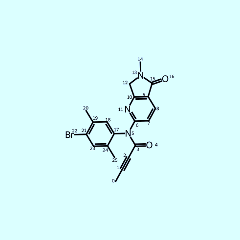 CC#CC(=O)N(c1ccc2c(n1)CN(C)C2=O)c1cc(C)c(Br)cc1C